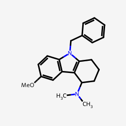 COc1ccc2c(c1)c1c(n2Cc2ccccc2)CCCC1N(C)C